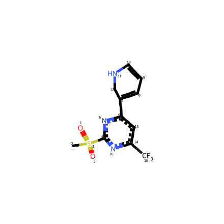 CS(=O)(=O)c1nc(C2=CC=CNC2)cc(C(F)(F)F)n1